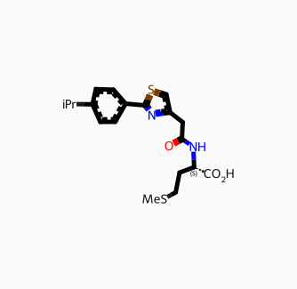 CSCC[C@H](NC(=O)Cc1csc(-c2ccc(C(C)C)cc2)n1)C(=O)O